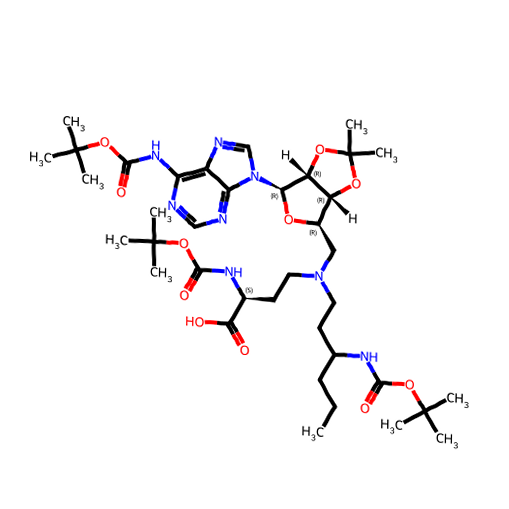 CCCC(CCN(CC[C@H](NC(=O)OC(C)(C)C)C(=O)O)C[C@H]1O[C@@H](n2cnc3c(NC(=O)OC(C)(C)C)ncnc32)[C@@H]2OC(C)(C)O[C@@H]21)NC(=O)OC(C)(C)C